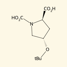 CC(C)(C)O[C@H]1C[C@H](C(=O)O)N(C(=O)O)C1